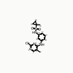 Cc1cnc(Cl)nc1Nc1cccc(NS(=O)(=O)C2(C)CC2)c1